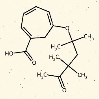 CC(=O)C(C)(C)CC(C)(C)OC1=CC=CC=C(C(=O)O)C1